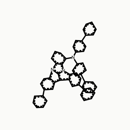 c1ccc(-c2ccc(N(c3ccc(-c4ccccc4)cc3)c3cccc4c3n3c5ccc(-c6ccccc6)cc5c5c6cc(-c7ccccc7)ccc6n4c53)cc2)cc1